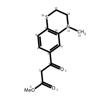 COC(=O)CC(=O)c1ccc2c(c1)N(C)CCS2